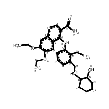 CCOc1cc2ncc(C(N)=O)c(Nc3cccc(CNC4CCCCC4O)c3CC)c2cc1OCC